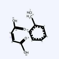 Cc1ccccc1.Cl.O=C(O)/C=C\C(=O)O